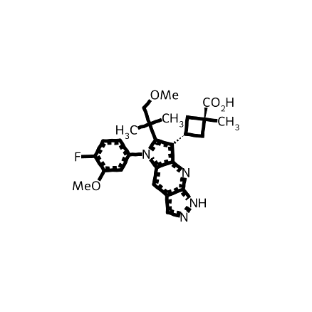 COCC(C)(C)c1c([C@H]2C[C@](C)(C(=O)O)C2)c2nc3[nH]ncc3cc2n1-c1ccc(F)c(OC)c1